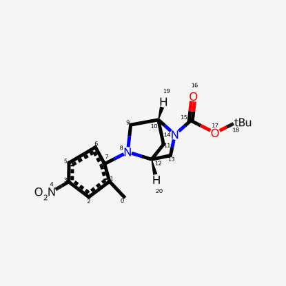 Cc1cc([N+](=O)[O-])ccc1N1C[C@H]2C[C@@H]1CN2C(=O)OC(C)(C)C